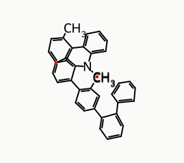 Cc1ccccc1-c1ccccc1N(C)c1ccccc1-c1ccc(-c2ccccc2-c2ccccc2)cc1C